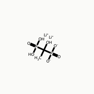 CC(O)(P(=O)([O-])[O-])P(=O)(O)O.[Li+].[Li+]